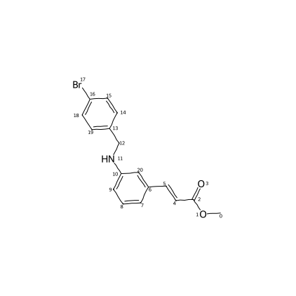 COC(=O)/C=C/c1cccc(NCc2ccc(Br)cc2)c1